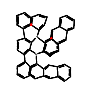 c1ccc(-c2ccc(-c3ccccc3)c(N(c3ccccc3)c3cccc4cc5ccccc5cc34)c2N(c2ccccc2)c2cccc3cc4ccccc4cc23)cc1